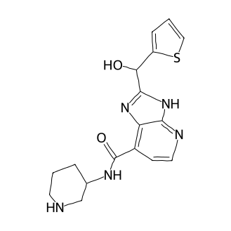 O=C(NC1CCCNC1)c1ccnc2[nH]c(C(O)c3cccs3)nc12